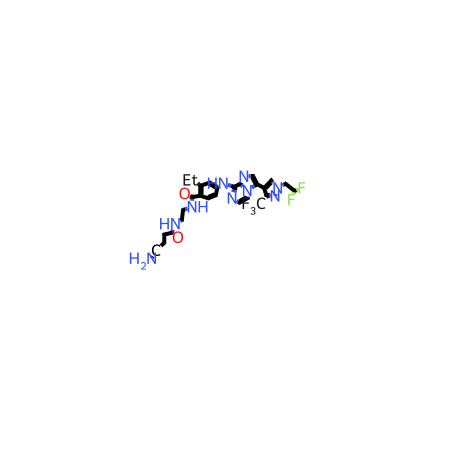 CCc1cc(Nc2nccn3c(-c4cn(CC(F)F)nc4C(F)(F)F)cnc23)ccc1C(=O)NCCNC(=O)CCCN